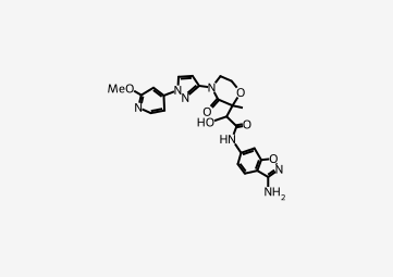 COc1cc(-n2ccc(N3CCOC(C)(C(O)C(=O)Nc4ccc5c(N)noc5c4)C3=O)n2)ccn1